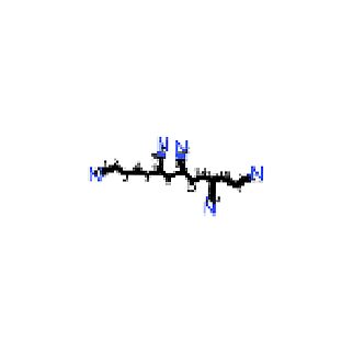 N#CCCCCC(C#N)CC(C#N)CCC(C#N)CCC#N